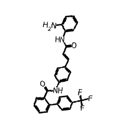 Nc1ccccc1NC(=O)C=Cc1ccc(NC(=O)c2ccccc2-c2ccc(C(F)(F)F)cc2)cc1